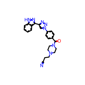 N#CCCN1CCN(C(=O)c2ccc(-n3cc(-c4n[nH]c5ccccc45)nn3)cc2)CC1